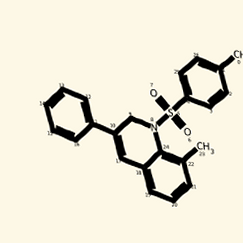 Cc1ccc(S(=O)(=O)N2CC(c3ccccc3)=Cc3cccc(C)c32)cc1